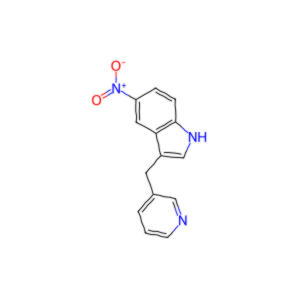 O=[N+]([O-])c1ccc2[nH]cc(Cc3cccnc3)c2c1